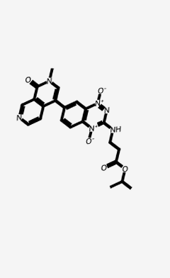 CC(C)OC(=O)CCNc1n[n+]([O-])c2cc(-c3cn(C)c(=O)c4cnccc34)ccc2[n+]1[O-]